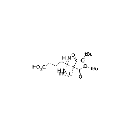 CC(C)(C)OC(=O)C(C(=O)O)(C(=O)OC(C)(C)C)C(N)(N)CCCC(=O)O